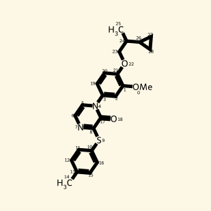 COc1cc(-n2ccnc(Sc3ccc(C)cc3)c2=O)ccc1OCC(C)C1CC1